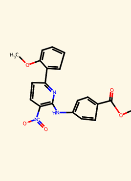 COC(=O)c1ccc(Nc2nc(-c3ccccc3OC)ccc2[N+](=O)[O-])cc1